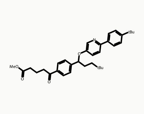 COC(=O)CCCC(=O)c1ccc(C(CCC(C)(C)C)Oc2ccc(-c3ccc(C(C)(C)C)cc3)nc2)cc1